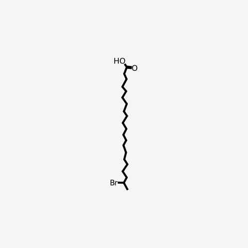 CC(Br)CCCCCCCCCCCCCCCCCCC(=O)O